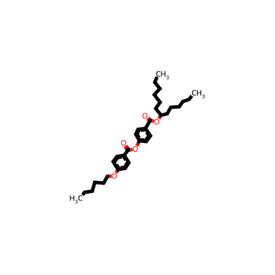 CCCCCCOc1ccc(C(=O)Oc2ccc(C(=O)OC(CCCCCC)CCCCCC)cc2)cc1